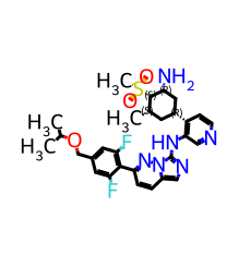 CC(C)OCc1cc(F)c(-c2ccc3cnc(Nc4cnccc4[C@H]4C[C@@H](N)[C@@H](S(C)(=O)=O)[C@@H](C)C4)n3n2)c(F)c1